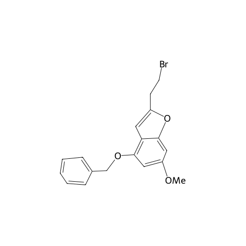 COc1cc(OCc2ccccc2)c2cc(CCBr)oc2c1